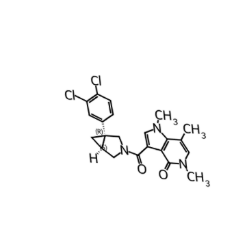 Cc1cn(C)c(=O)c2c(C(=O)N3C[C@H]4C[C@@]4(c4ccc(Cl)c(Cl)c4)C3)cn(C)c12